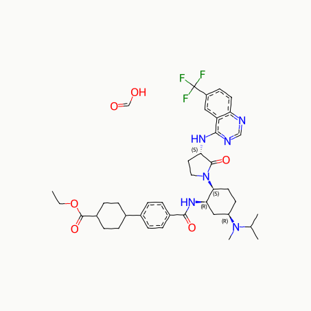 CCOC(=O)C1CCC(c2ccc(C(=O)N[C@@H]3C[C@H](N(C)C(C)C)CC[C@@H]3N3CC[C@H](Nc4ncnc5ccc(C(F)(F)F)cc45)C3=O)cc2)CC1.O=CO